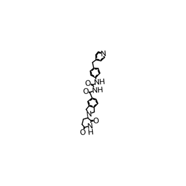 O=C1CCC(N2Cc3ccc(C(=O)NC(=O)Nc4ccc(Cc5ccncc5)cc4)cc3C2)C(=O)N1